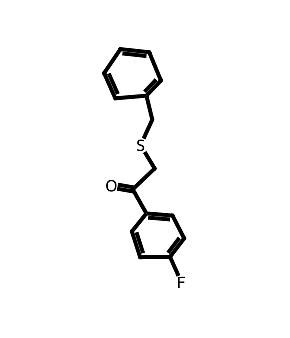 O=C(CSCc1ccccc1)c1ccc(F)cc1